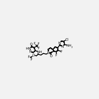 Nc1nc(-c2cc3ccn(CCCC(COC(F)F)Nc4cn[nH]c(=O)c4C(F)(F)F)c(=O)c3c(F)c2F)ncc1Cl